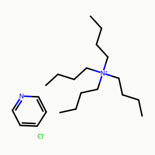 CCCC[N+](CCCC)(CCCC)CCCC.[Cl-].c1ccncc1